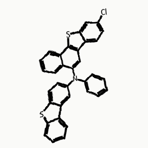 Clc1ccc2c(c1)sc1c3ccccc3c(N(c3ccccc3)c3ccc4sc5ccccc5c4c3)cc21